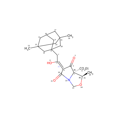 CCOC(=O)[C@@]12C(=O)/C(=C(/O)CC34CC5CC(C)(CC(C)(C5)C3)C4)C(=O)N1CO[C@@H]2C